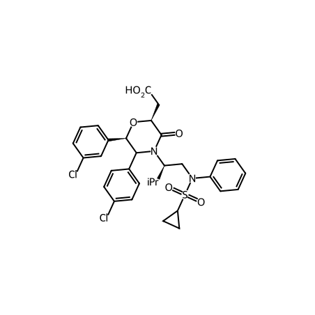 CC(C)[C@H](CN(c1ccccc1)S(=O)(=O)C1CC1)N1C(=O)[C@H](CC(=O)O)O[C@H](c2cccc(Cl)c2)C1c1ccc(Cl)cc1